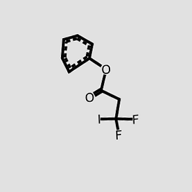 O=C(CC(F)(F)I)Oc1ccccc1